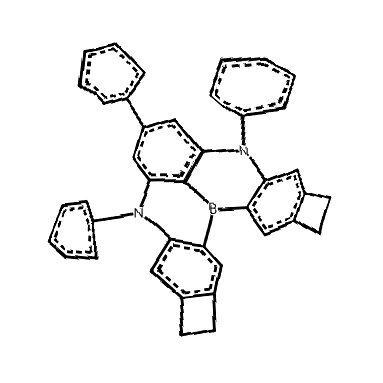 c1ccc(-c2cc3c4c(c2)N(c2ccccc2)c2cc5c(cc2B4c2cc4c(cc2N3c2ccccc2)CC4)CC5)cc1